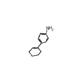 Nc1ccc(C2=CC[CH]CC2)cc1